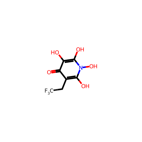 O=c1c(O)c(O)n(O)c(O)c1CC(F)(F)F